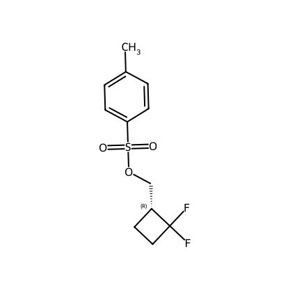 Cc1ccc(S(=O)(=O)OC[C@H]2CCC2(F)F)cc1